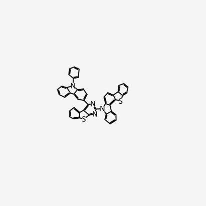 c1ccc(-n2c3ccccc3c3cc(-c4nc(-n5c6ccccc6c6c7sc8ccccc8c7ccc65)nc5sc6ccccc6c45)ccc32)cc1